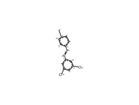 Cc1ccc(N=Nc2cc(Cl)cc(Cl)c2)cc1